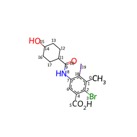 Cc1c(Br)c(C(=O)O)cc(NC(=O)C2CCC(O)CC2)c1I